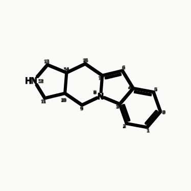 c1ccc2c(c1)cc1n2CC2CNCC2C1